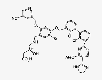 COc1nc(-c2cccc(-c3cccc(COc4nc(OCc5cncc(C#N)c5)c(CNC[C@@H](O)CC(=O)O)cc4Br)c3Cl)c2Cl)ccc1C1=NCCN1